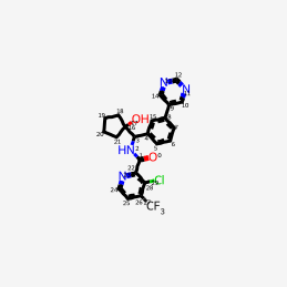 O=C(NC(c1cccc(-c2cncnc2)c1)C1(O)CCCC1)c1nccc(C(F)(F)F)c1Cl